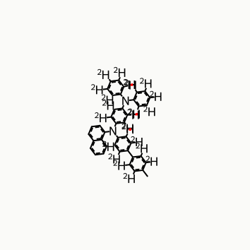 [2H]c1c([2H])c([2H])c(N(c2c([2H])c([2H])c([2H])c([2H])c2[2H])c2c([2H])c([2H])c(N(c3c([2H])c([2H])c(-c4c([2H])c([2H])c(C)c([2H])c4[2H])c([2H])c3[2H])c3cccc4ccccc34)c([2H])c2[2H])c([2H])c1[2H]